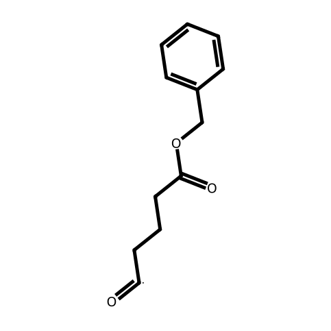 O=[C]CCCC(=O)OCc1ccccc1